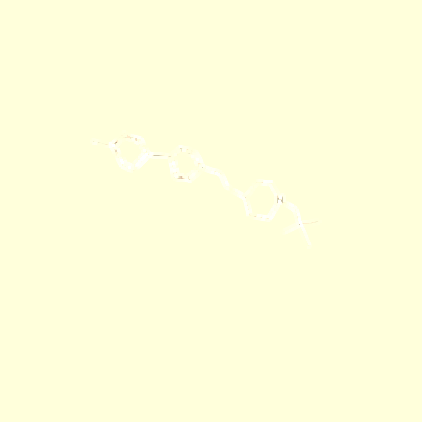 Cc1ccc(-c2ccc(CCC3CCN(CC(C)(C)C)CC3)cc2)cc1